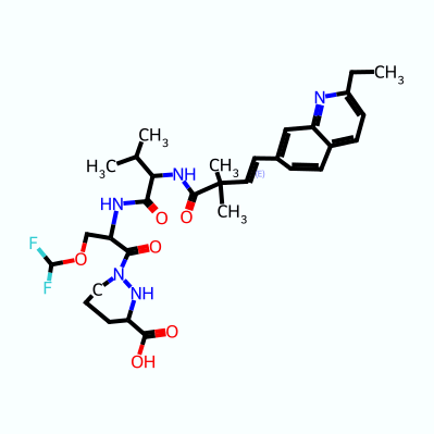 CCc1ccc2ccc(/C=C/C(C)(C)C(=O)NC(C(=O)NC(COC(F)F)C(=O)N3CCCC(C(=O)O)N3)C(C)C)cc2n1